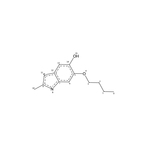 CCCCOc1cc2nc(C)sc2cc1O